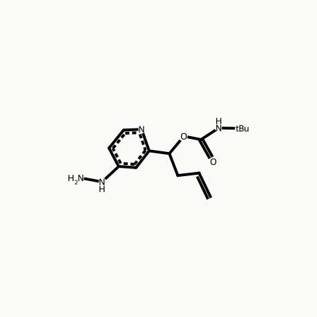 C=CCC(OC(=O)NC(C)(C)C)c1cc(NN)ccn1